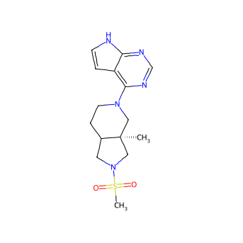 C[C@@]12CN(c3ncnc4[nH]ccc34)CCC1CN(S(C)(=O)=O)C2